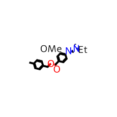 CCN(C)/C=N/c1ccc(C(=O)OCc2ccc(C)cc2)cc1OC